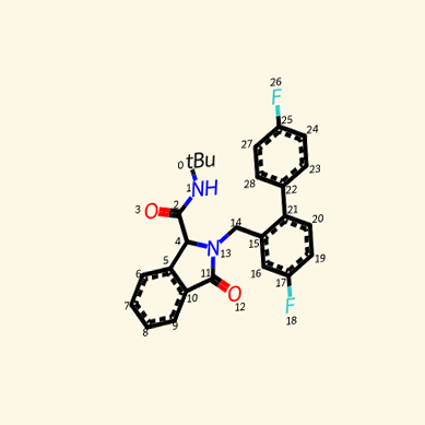 CC(C)(C)NC(=O)C1c2ccccc2C(=O)N1Cc1cc(F)ccc1-c1ccc(F)cc1